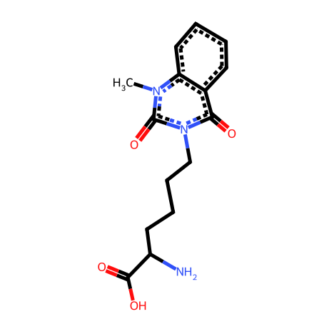 Cn1c(=O)n(CCCCC(N)C(=O)O)c(=O)c2ccccc21